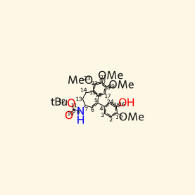 COc1ccc(C2=CC(NC(=O)OC(C)(C)C)CCc3c2cc(OC)c(OC)c3OC)cc1O